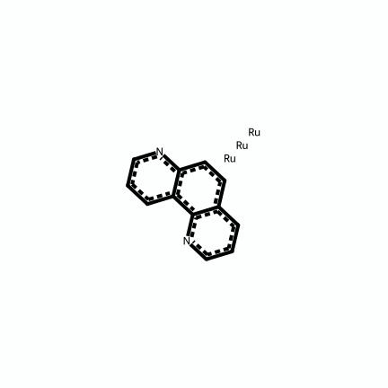 [Ru].[Ru].[Ru].c1cnc2c(c1)ccc1ncccc12